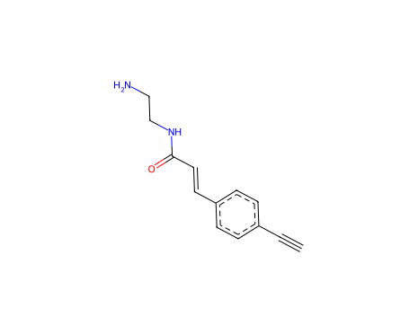 C#Cc1ccc(/C=C/C(=O)NCCN)cc1